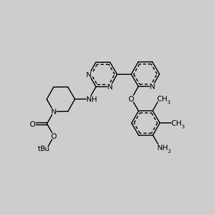 Cc1c(N)ccc(Oc2ncccc2-c2ccnc(NC3CCCN(C(=O)OC(C)(C)C)C3)n2)c1C